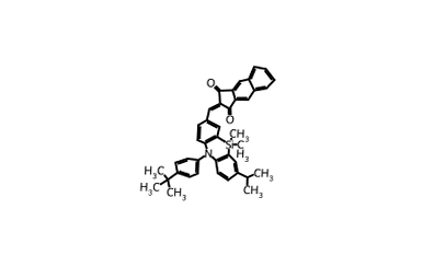 CC(C)c1ccc2c(c1)[Si](C)(C)c1cc(C=C3C(=O)c4cc5ccccc5cc4C3=O)ccc1N2c1ccc(C(C)(C)C)cc1